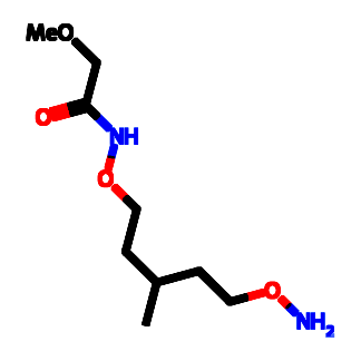 COCC(=O)NOCCC(C)CCON